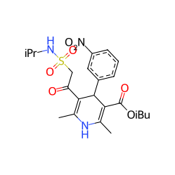 CC1=C(C(=O)CS(=O)(=O)NC(C)C)C(c2cccc([N+](=O)[O-])c2)C(C(=O)OCC(C)C)=C(C)N1